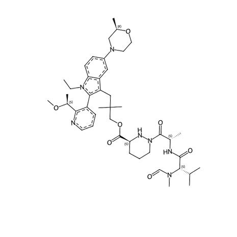 CCn1c(-c2cccnc2[C@H](C)OC)c(CC(C)(C)COC(=O)[C@@H]2CCCN(C(=O)[C@H](C)NC(=O)[C@H](C(C)C)N(C)C=O)N2)c2cc(N3CCO[C@H](C)C3)ccc21